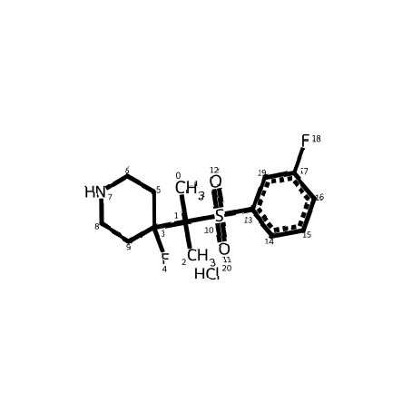 CC(C)(C1(F)CCNCC1)S(=O)(=O)c1cccc(F)c1.Cl